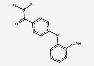 CCN(CC)C(=O)c1ccc(Nc2ccccc2OC)cc1